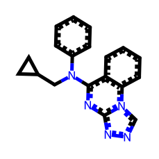 c1ccc(N(CC2CC2)c2nc3nncn3c3ccccc23)cc1